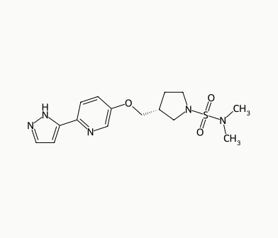 CN(C)S(=O)(=O)N1CC[C@@H](COc2ccc(-c3ccn[nH]3)nc2)C1